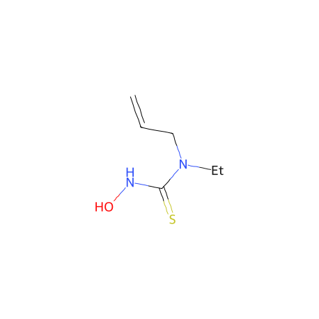 C=CCN(CC)C(=S)NO